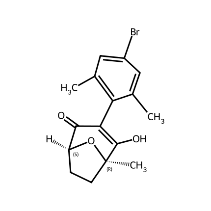 Cc1cc(Br)cc(C)c1C1=C(O)[C@@]2(C)CC[C@H](O2)C1=O